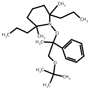 CCCC1(C)CCCC(C)(CCC)N1OC(C)(COC(C)(C)C)c1ccccc1